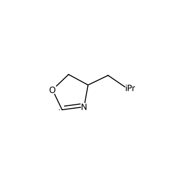 CC(C)CC1CO[C]=N1